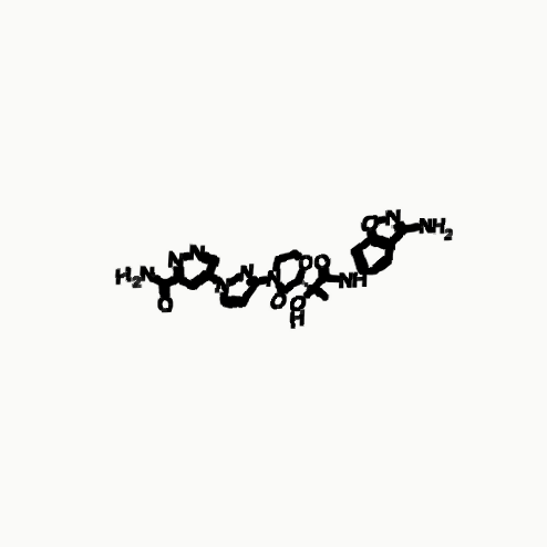 CC(O)(C(=O)Nc1ccc2c(N)noc2c1)[C@H]1OCCN(c2ccn(-c3cnnc(C(N)=O)c3)n2)C1=O